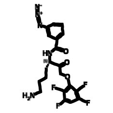 [N-]=[N+]=Nc1cccc(C(=O)N[C@@H](CCCCN)C(=O)COc2c(F)c(F)cc(F)c2F)c1